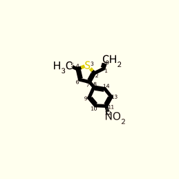 C=Cc1sc(C)cc1-c1ccc([N+](=O)[O-])cc1